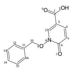 O=C(O)c1ccc(=O)n(OCc2ccccc2)c1